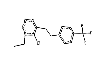 CCc1ncnc(CCc2ccc(C(F)(F)F)cc2)c1Cl